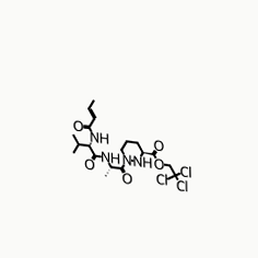 C/C=C/C(=O)N[C@H](C(=O)N[C@@H](C)C(=O)N1CCC[C@@H](C(=O)OCC(Cl)(Cl)Cl)N1)C(C)C